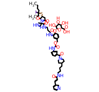 CCCCC(I)(CC)SC1CC(=O)N(C2(C(=O)NCCC(=O)Nc3cc(COC(=O)Nc4cccc(C(=O)N5CCC(CCCCNC(=O)/C=C/c6cccnc6)CC5)c4)ccc3O[C@@H]3OC(C(=O)O)C(O)[C@H](O)C3O)CNC2)C1=O